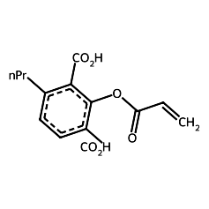 C=CC(=O)Oc1c(C(=O)O)ccc(CCC)c1C(=O)O